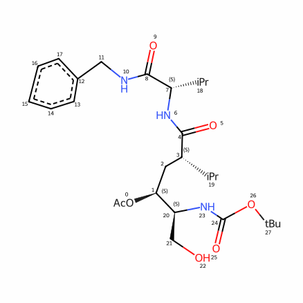 CC(=O)O[C@@H](C[C@H](C(=O)N[C@H](C(=O)NCc1ccccc1)C(C)C)C(C)C)[C@H](CO)NC(=O)OC(C)(C)C